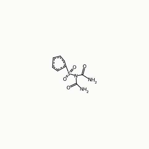 NC(=O)N(C(N)=O)S(=O)(=O)c1ccccc1